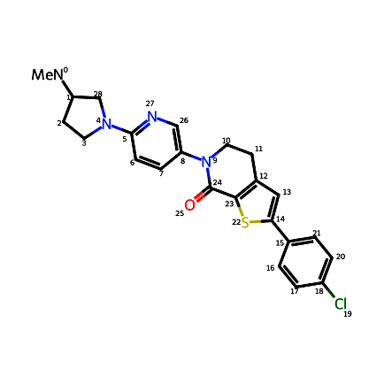 CNC1CCN(c2ccc(N3CCc4cc(-c5ccc(Cl)cc5)sc4C3=O)cn2)C1